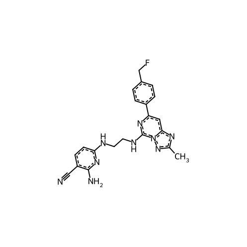 Cc1nc2cc(-c3ccc(CF)cc3)nc(NCCNc3ccc(C#N)c(N)n3)n2n1